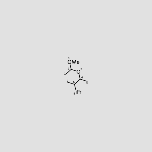 COC(C)OC(C)C(C)C(C)C